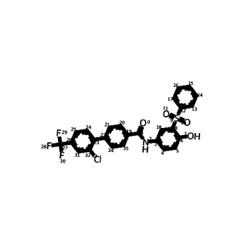 O=C(Nc1ccc(O)c(S(=O)(=O)c2ccccc2)c1)c1ccc(-c2ccc(C(F)(F)F)cc2Cl)cc1